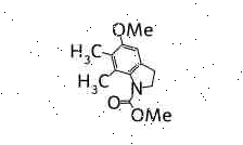 COC(=O)N1CCc2cc(OC)c(C)c(C)c21